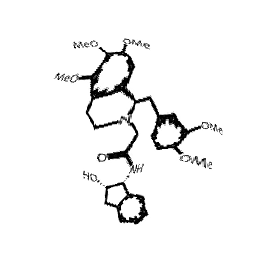 COc1ccc(CC2c3cc(OC)c(OC)c(OC)c3CCN2CC(=O)N[C@@H]2c3ccccc3C[C@@H]2O)cc1OC